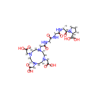 C[C@@H](NC(=O)CNC(=O)CNC(=O)CN1CCN(CC(=O)O)CCN(CC(=O)O)CCN(CC(=O)O)CC1)C(=O)N1CCC[C@H]1B(O)O